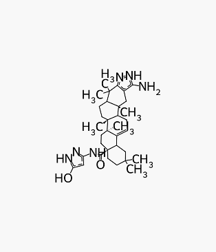 CC1(C)CC[C@]2(C(=O)Nc3cc(O)[nH]n3)CC[C@]3(C)C(=CCC4[C@@]5(C)Cc6c(n[nH]c6N)C(C)(C)C5CC[C@]43C)C2C1